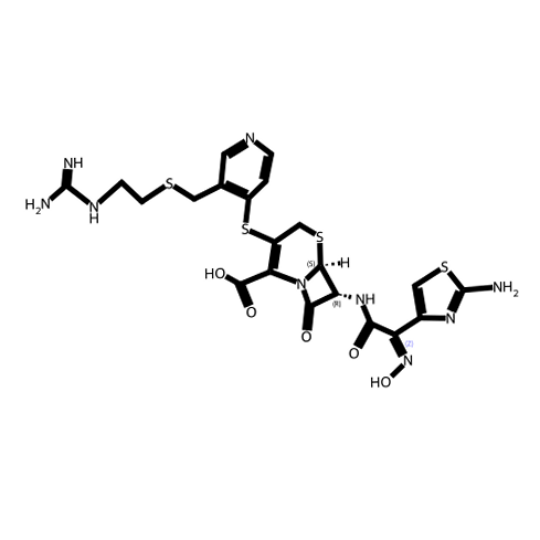 N=C(N)NCCSCc1cnccc1SC1=C(C(=O)O)N2C(=O)[C@@H](NC(=O)/C(=N\O)c3csc(N)n3)[C@@H]2SC1